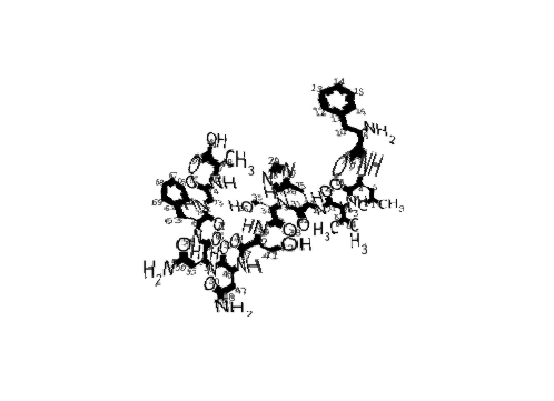 CC(C)C[C@H](NC(=O)[C@@H](N)Cc1ccccc1)C(=O)N[C@H](C(=O)N[C@@H](Cc1c[nH]cn1)C(=O)N[C@@H](CO)C(=O)N[C@@H](CO)C(=O)N[C@@H](CC(N)=O)C(=O)N[C@@H](CC(N)=O)C(=O)N[C@@H](Cc1ccccc1)C(=O)NCC(=O)N[C@@H](C)C(=O)O)C(C)C